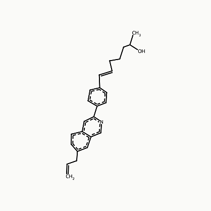 C=CCc1ccc2cc(-c3ccc(C=CCCCC(C)O)cc3)ncc2c1